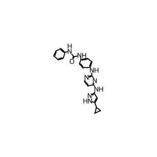 O=C(Nc1ccccc1)Nc1ccc(Nc2nccc(Nc3cc(C4CC4)[nH]n3)n2)cc1